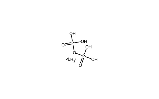 O=P(O)(O)OP(=O)(O)O.[PbH2]